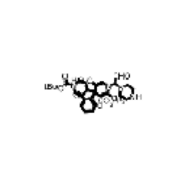 CC1=C(C(=O)O)C(c2c(Cl)cccc2Cl)(C2CCN(C(=O)OC(C)(C)C)CC2)C(C(=O)O)=CN1C(C=O)N1CCNCC1